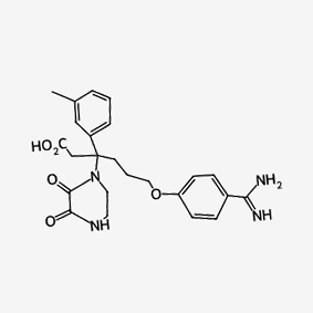 Cc1cccc(C(CCCOc2ccc(C(=N)N)cc2)(CC(=O)O)N2CCNC(=O)C2=O)c1